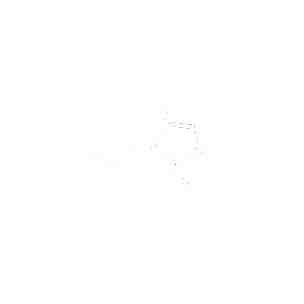 CSC.N.c1c[nH]cn1